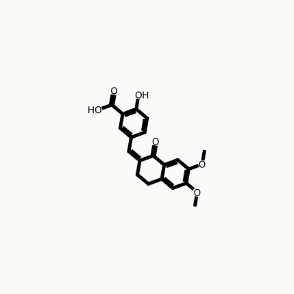 COc1cc2c(cc1OC)C(=O)C(=Cc1ccc(O)c(C(=O)O)c1)CC2